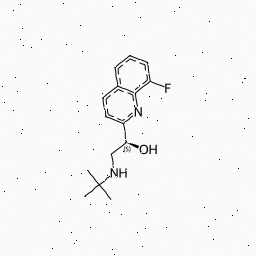 CC(C)(C)NC[C@H](O)c1ccc2cccc(F)c2n1